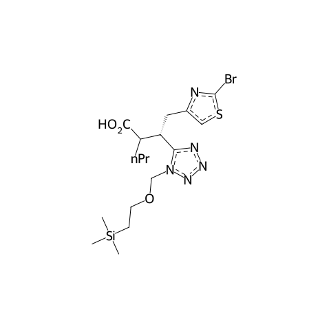 CCCC(C(=O)O)[C@H](Cc1csc(Br)n1)c1nnnn1COCC[Si](C)(C)C